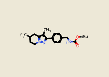 Cc1c(-c2ccc(CNC(=O)OC(C)(C)C)cc2)nn2c1CC(C(F)(F)F)CC2